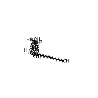 CCCCCCCCC=CCCCCCCCC(=O)N[C@@H](C)C(=O)N[C@@H](C)C(=O)N1CCC[C@H]1C(=O)N[C@@H](C)CO